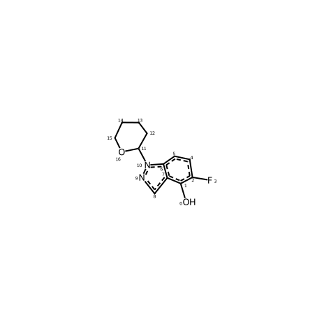 Oc1c(F)ccc2c1cnn2C1CCCCO1